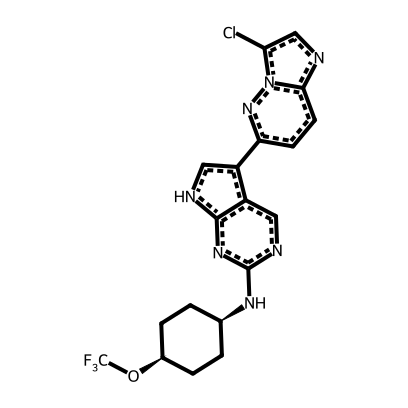 FC(F)(F)O[C@H]1CC[C@@H](Nc2ncc3c(-c4ccc5ncc(Cl)n5n4)c[nH]c3n2)CC1